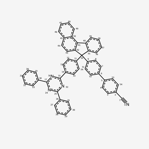 N#Cc1ccc(-c2ccc(C3(c4ccc(-c5nc(-c6ccccc6)nc(-c6ccccc6)n5)cc4)c4ccccc4-c4c3ccc3ccccc43)cc2)cc1